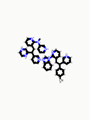 CN(c1cccnc1)c1ncccc1CC(c1cccnc1)c1cnccn1.N#Cc1ccc(C(Cc2cccnc2-n2cnc3ccccc32)c2cccnc2)cc1